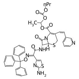 CCCOC(=O)OC(C)OC(=O)C1=C(/C=C\c2cccnc2)CS[C@@H]2[C@H](NC(=O)/C(=N/OC(c3ccccc3)(c3ccccc3)c3ccccc3)c3csc(N)n3)C(=O)N12